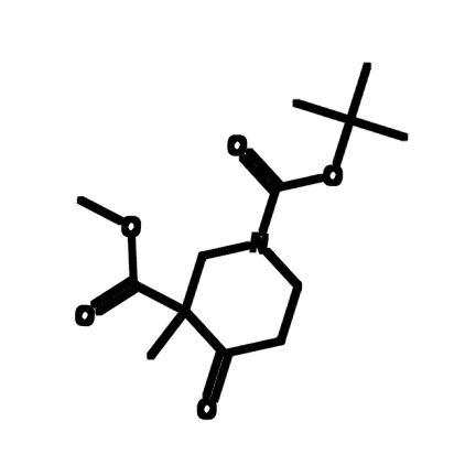 COC(=O)C1(C)CN(C(=O)OC(C)(C)C)CCC1=O